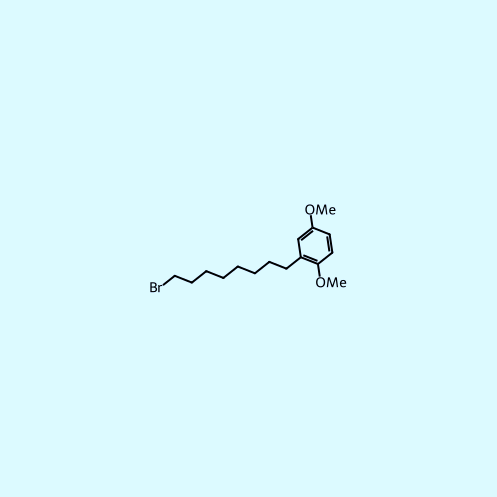 COc1ccc(OC)c(CCCCCCCCBr)c1